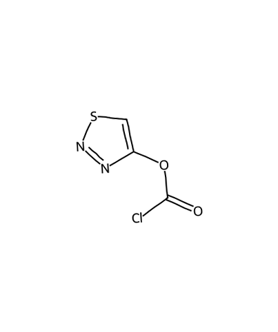 O=C(Cl)Oc1csnn1